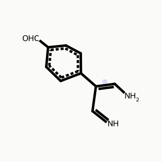 N=C/C(=C\N)c1ccc(C=O)cc1